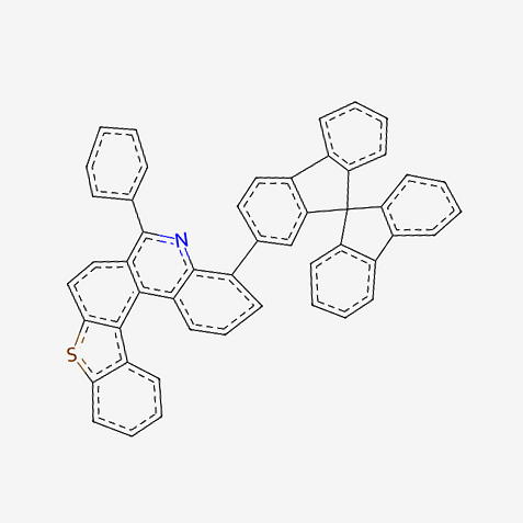 c1ccc(-c2nc3c(-c4ccc5c(c4)C4(c6ccccc6-c6ccccc64)c4ccccc4-5)cccc3c3c2ccc2sc4ccccc4c23)cc1